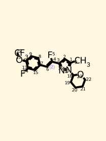 Cc1cc(/C(F)=C/c2ccc(OC(F)(F)F)c(F)c2)nn1C1CCCCO1